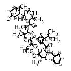 COC(=O)[C@@H](C)C[C@H](Cc1ccccc1)NC(=O)c1nc([C@@H](CC(C(C)C)N(C)C(=O)[C@@H](NC(=O)[C@H]2CC(=O)CCN2C)C(C)C)OC(C)=O)sc1C(C)C